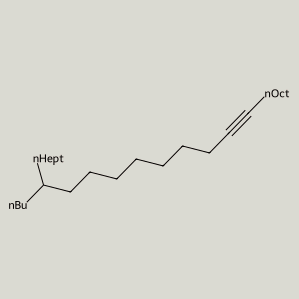 [CH2]CCCCCCCC#CCCCCCCCC(CCCC)CCCCCC[CH2]